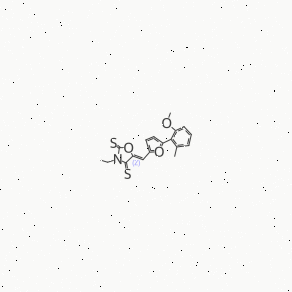 CCN1C(=S)O/C(=C\c2ccc(-c3c(C)cccc3OC)o2)C1=S